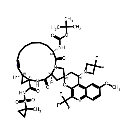 COc1ccc2nc(C(F)(F)F)c3c(c2c1)[C@@H](N1CC(F)(F)C1)C[C@]1(C[C@H]2C(=O)N[C@]4(C(=O)NS(=O)(=O)C5(C)CC5)C[C@H]4/C=C\CCCCC[C@H](NC(=O)OC(C)(C)C)C(=O)N2C1)O3